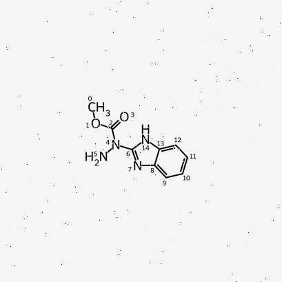 COC(=O)N(N)c1nc2ccccc2[nH]1